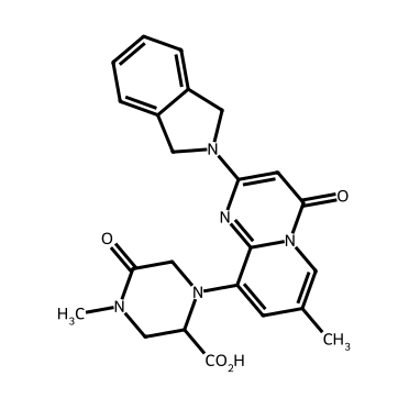 Cc1cc(N2CC(=O)N(C)CC2C(=O)O)c2nc(N3Cc4ccccc4C3)cc(=O)n2c1